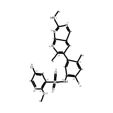 CNc1ncc2cc(-c3cc(NS(=O)(=O)c4cc(Cl)cnc4OC)c(F)cc3C)c(C)nc2n1